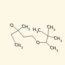 CCC(C)([O])CCOC(C)C(C)(C)C